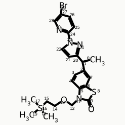 CC(c1ccc2c(c1)sc(=O)n2COCC[Si](C)(C)C)c1ccn(-c2ccc(Br)cn2)n1